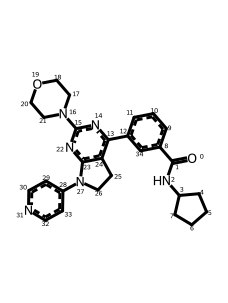 O=C(NC1CCCC1)c1cccc(-c2nc(N3CCOCC3)nc3c2CCN3c2ccncc2)c1